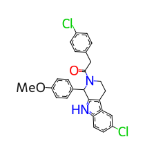 COc1ccc(C2c3[nH]c4ccc(Cl)cc4c3CCN2C(=O)Cc2ccc(Cl)cc2)cc1